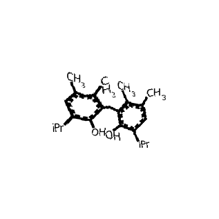 Cc1cc(C(C)C)c(O)c(-c2c(C)c(C)cc(C(C)C)c2O)c1C